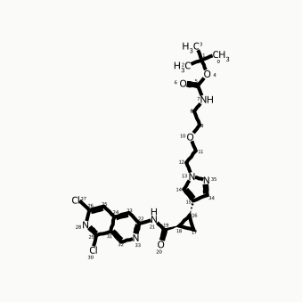 CC(C)(C)OC(=O)NCCOCCn1cc([C@@H]2C[C@H]2C(=O)Nc2cc3cc(Cl)nc(Cl)c3cn2)cn1